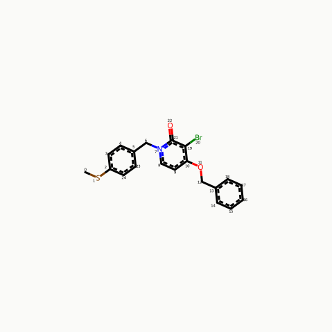 CSc1ccc(Cn2ccc(OCc3ccccc3)c(Br)c2=O)cc1